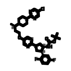 C[C@H](CCOc1cnc(N2C[C@@H](NC(=O)OC(C)(C)C)[C@H](c3cc(F)ccc3F)C2)nc1)C1CCN(c2ncc(Cl)cn2)CC1